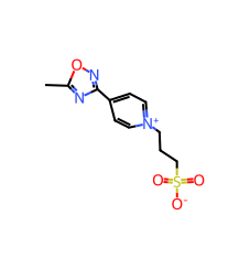 Cc1nc(-c2cc[n+](CCCS(=O)(=O)[O-])cc2)no1